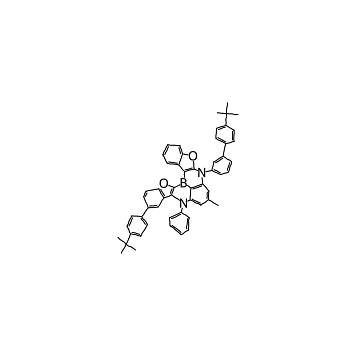 Cc1cc2c3c(c1)N(c1ccccc1)c1c(oc4ccc(-c5ccc(C(C)(C)C)cc5)cc14)B3c1c(oc3ccccc13)N2c1cccc(-c2ccc(C(C)(C)C)cc2)c1